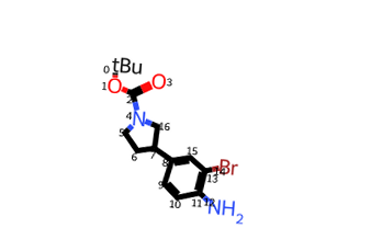 CC(C)(C)OC(=O)N1CCC(c2ccc(N)c(Br)c2)C1